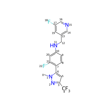 Cn1nc(C(F)(F)F)cc1-c1ccc(NCc2cncc(F)c2)cc1F